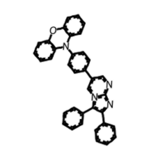 c1ccc(-c2nc3ncc(-c4ccc(N5c6ccccc6Oc6ccccc65)cc4)cn3c2-c2ccccc2)cc1